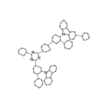 c1ccc(-c2ccc3c(c2)c2ccccc2n3-c2ccc(-c3ccc(-c4nc(-c5ccccc5)nc(-c5ccc(-c6ccccc6)c(-n6c7ccccc7c7ccccc76)c5)n4)cc3)cc2-c2ccccc2)cc1